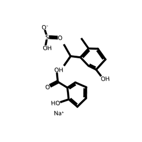 Cc1ccc(O)cc1C(C)C.O=C(O)c1ccccc1O.O=S([O-])O.[Na+]